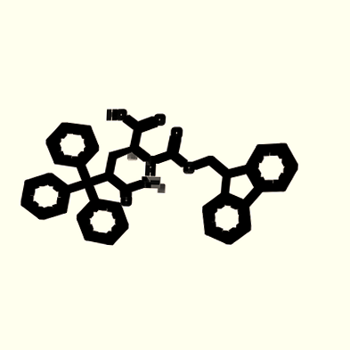 NC(=O)C(C[C@H](NC(=O)OCC1c2ccccc2-c2ccccc21)C(=O)O)C(c1ccccc1)(c1ccccc1)c1ccccc1